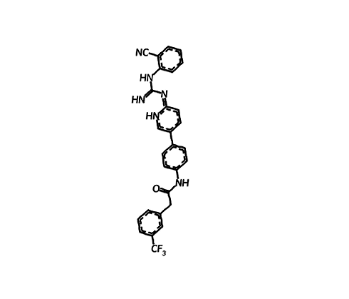 N#Cc1ccccc1NC(=N)/N=c1/ccc(-c2ccc(NC(=O)Cc3cccc(C(F)(F)F)c3)cc2)c[nH]1